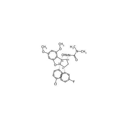 COc1cc(OC)c2c(c1)O[C@]1(c3ccc(Cl)cc3)[C@@H](c3cccc(F)c3)C[C@@H](NC(=O)N(C)C)[C@]21O